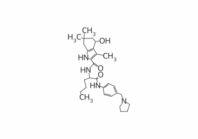 CCCCC(NC(=O)c1[nH]c2c(c1C)C(O)CC(C)(C)C2)C(=O)Nc1ccc(CN2CCCC2)cc1